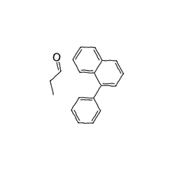 CCC=O.c1ccc(-c2cccc3ccccc23)cc1